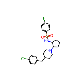 O=S(=O)(NC1CCCC1N1CCC(Cc2ccc(Cl)cc2)CC1)c1ccc(F)cc1